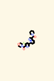 O=C(c1ncc(-c2cccc3c(C(=O)N4CCCCC4)cnn23)cc1F)N1CCOCC1